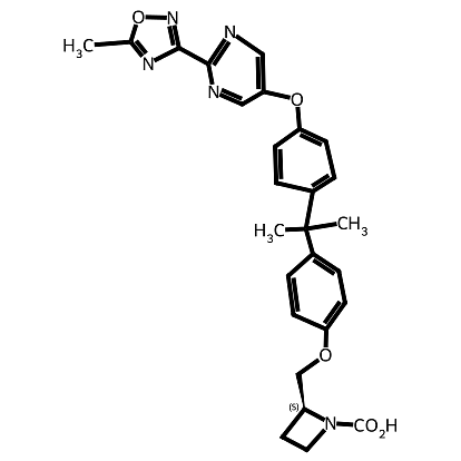 Cc1nc(-c2ncc(Oc3ccc(C(C)(C)c4ccc(OC[C@@H]5CCN5C(=O)O)cc4)cc3)cn2)no1